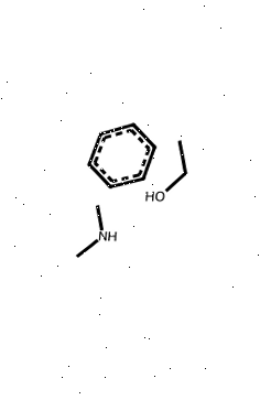 CCO.CNC.c1ccccc1